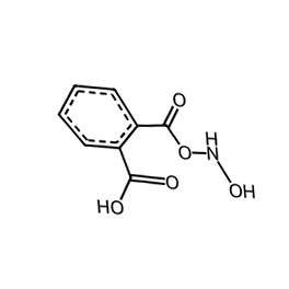 O=C(O)c1ccccc1C(=O)ONO